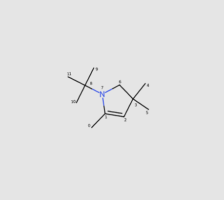 CC1=CC(C)(C)CN1C(C)(C)C